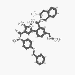 Cc1c(C(=O)N(C)c2ccc(OCc3ccccc3)cc2)cc(-c2ccc(CNC(=O)O)cc2C(=O)N2Cc3ccccc3C[C@H]2C)n1C